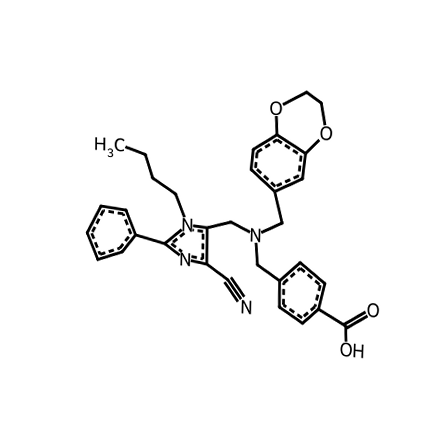 CCCCn1c(-c2ccccc2)nc(C#N)c1CN(Cc1ccc(C(=O)O)cc1)Cc1ccc2c(c1)OCCO2